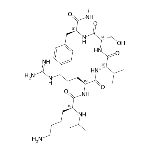 CNC(=O)[C@H](Cc1ccccc1)NC(=O)[C@H](CO)NC(=O)[C@@H](NC(=O)[C@H](CCCNC(=N)N)NC(=O)[C@H](CCCCN)NC(C)C)C(C)C